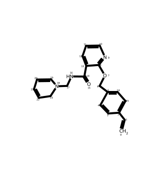 C=Cc1ccc(COc2ncccc2C(=O)NCN2C=CC=CC2)cc1